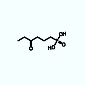 CCC(=O)CCCP(=O)(O)O